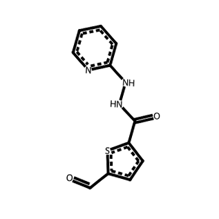 O=Cc1ccc(C(=O)NNc2ccccn2)s1